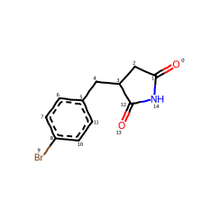 O=C1CC(Cc2ccc(Br)cc2)C(=O)N1